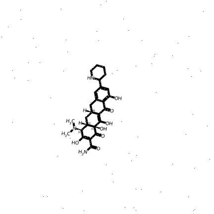 CN(C)[C@@H]1C(O)=C(C(N)=O)C(=O)[C@@]2(O)C(O)=C3C(=O)c4c(O)cc(C5CCCCN5)cc4C[C@H]3C[C@@H]12